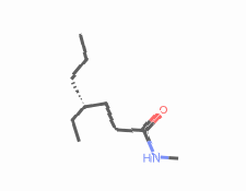 CCC[C@@H](CC)CCC(=O)NC